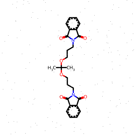 CC(C)(OCCCN1C(=O)c2ccccc2C1=O)OCCCN1C(=O)c2ccccc2C1=O